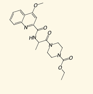 CCOC(=O)N1CCN(C(=O)C(C)NC(=O)c2cc(OC)c3ccccc3n2)CC1